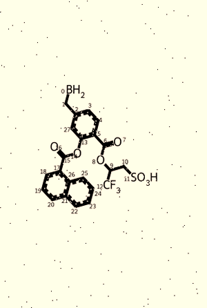 BCc1ccc(C(=O)OC(CS(=O)(=O)O)C(F)(F)F)c(OC(=O)c2cccc3ccccc23)c1